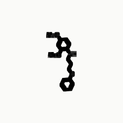 COc1ccc(NCCCOc2ccccc2)c(OC)c1